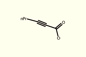 CCCC#CC([O])=O